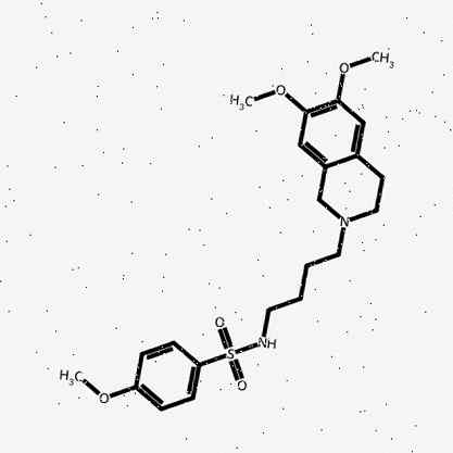 COc1ccc(S(=O)(=O)NCCCCN2CCc3cc(OC)c(OC)cc3C2)cc1